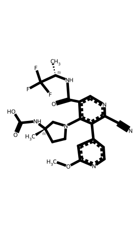 COc1cc(-c2c(C#N)ncc(C(=O)N[C@@H](C)C(F)(F)F)c2N2CC[C@](C)(NC(=O)O)C2)ccn1